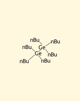 CCC[CH2][Ge]([CH2]CCC)([CH2]CCC)[Ge]([CH2]CCC)([CH2]CCC)[CH2]CCC